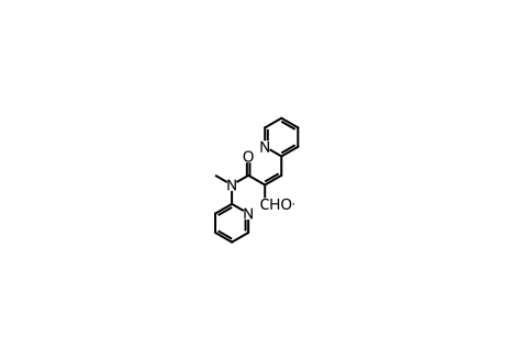 CN(C(=O)C([C]=O)=Cc1ccccn1)c1ccccn1